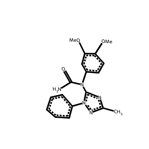 COc1ccc(N(C(N)=O)c2nc(C)nn2-c2ccccc2)cc1OC